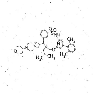 Cc1cccc(C)c1-c1cc2nc(n1)NS(=O)(=O)c1cccc(c1)C(C1CC3(CCN(C4CCOCC4)CC3)C1)[C@H](CC(C)C)CO2